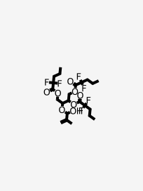 C=C(C)C(O)OC(COC(=O)C(F)(F)CCC)C(COC(=O)C(F)(F)CCC)OC(=O)C(F)(F)CCC